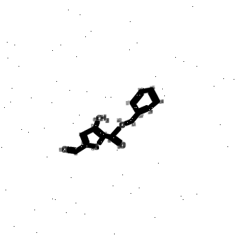 Cc1cc(C=O)sc1C(=O)OCc1ccccc1